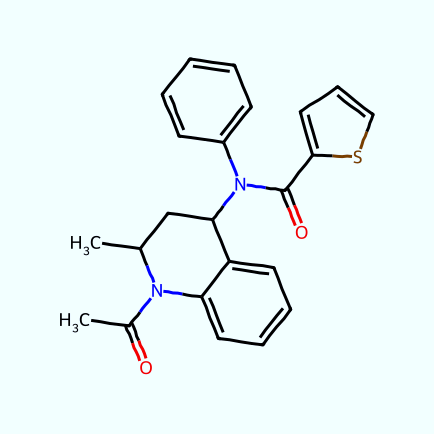 CC(=O)N1c2ccccc2C(N(C(=O)c2cccs2)c2ccccc2)CC1C